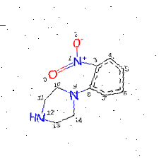 O=[N+]([O-])c1[c]cccc1N1CCNCC1